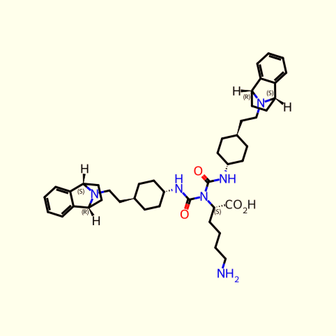 NCCCC[C@@H](C(=O)O)N(C(=O)N[C@H]1CC[C@H](CCN2[C@@H]3CC[C@H]2c2ccccc23)CC1)C(=O)N[C@H]1CC[C@H](CCN2[C@@H]3CC[C@H]2c2ccccc23)CC1